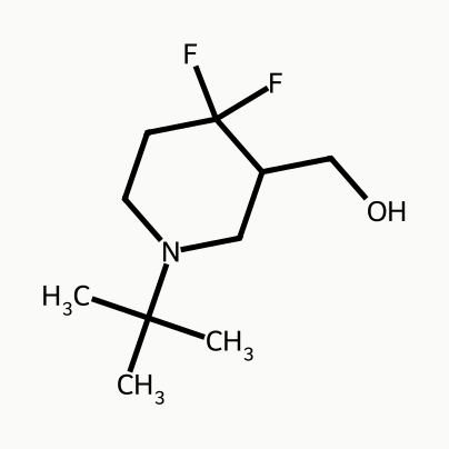 CC(C)(C)N1CCC(F)(F)C(CO)C1